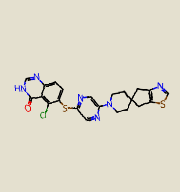 O=c1[nH]cnc2ccc(Sc3cnc(N4CCC5(CC4)Cc4ncsc4C5)cn3)c(Cl)c12